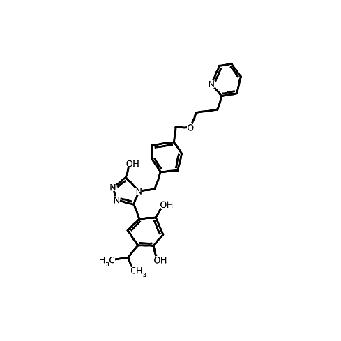 CC(C)c1cc(-c2nnc(O)n2Cc2ccc(COCCc3ccccn3)cc2)c(O)cc1O